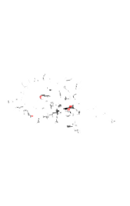 CC[C@H](C)[C@@H]1NC(=O)CNC(=O)C2Cc3c4[nH]c5cc(ccc35)OC(CCCCCCN)(C(=O)[C@H](CC(N)=O)NC(=O)C(CS4)NC(=O)CNC1=O)N1C[C@H](O)C[C@]1(C=O)N[C@@H]([C@@H](C)[C@@H](O)CO)C(=O)N2